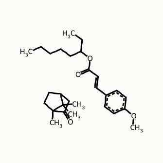 CC12CCC(CC1=O)C2(C)C.CCCCCC(CC)OC(=O)C=Cc1ccc(OC)cc1